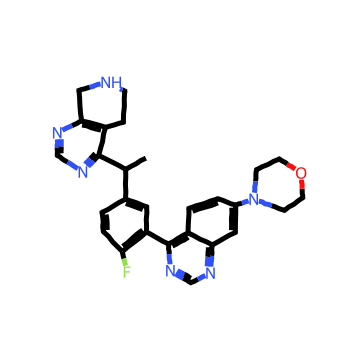 CC(c1ccc(F)c(-c2ncnc3cc(N4CCOCC4)ccc23)c1)c1ncnc2c1CCNC2